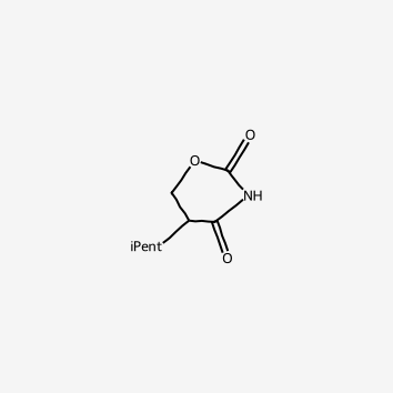 CCCC(C)C1COC(=O)NC1=O